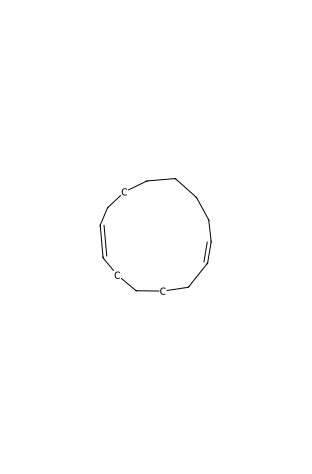 C1=CCCCCCCC=CCCCC1